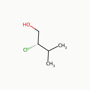 CC(C)[C@H](Cl)CO